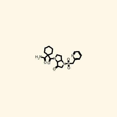 NC(=O)C1(C(=O)N2CCC3C2C(=O)CN3S(=O)(=O)Cc2ccccn2)CCCCC1